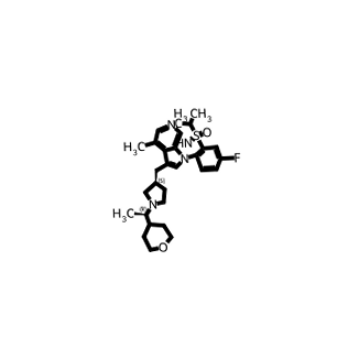 Cc1cncc2c1c(C[C@H]1CCN([C@H](C)C3CCOCC3)C1)cn2-c1ccc(F)cc1S(=N)(=O)C(C)C